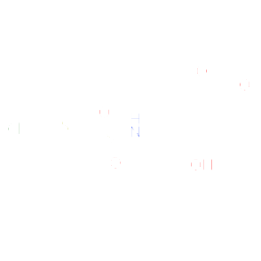 CC[C@H](C)C(NS(=O)(=O)c1ccc(Cl)s1)C(O)CCC1OCCCO1